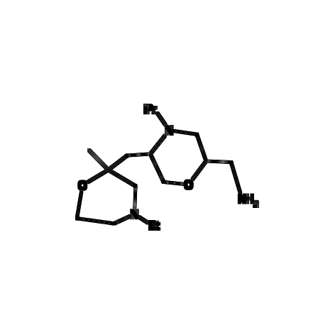 CCN1CCOC(C)(CC2COC(CN)CN2C(C)C)C1